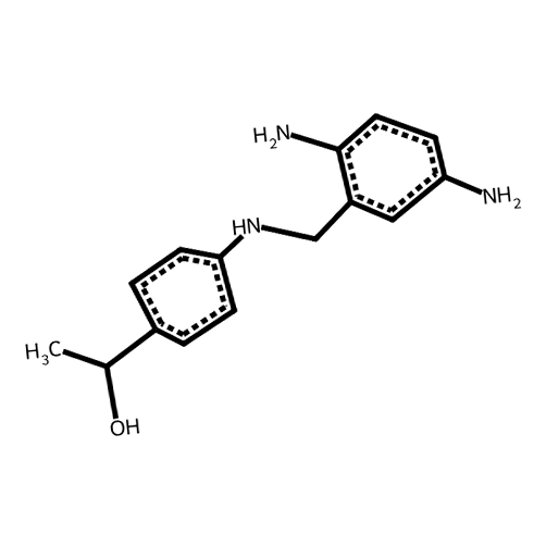 CC(O)c1ccc(NCc2cc(N)ccc2N)cc1